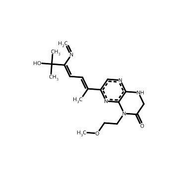 C=N/C(=C\C=C(/C)c1cnc2c(n1)N(CCOC)C(=O)CN2)C(C)(C)O